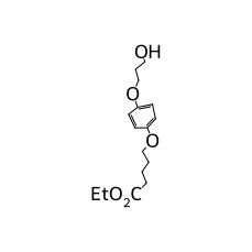 CCOC(=O)CCCCOc1ccc(OCCCO)cc1